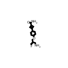 NC/C(=C\F)COc1ccc(C23CC(C(N)=O)(C2)C3)cc1